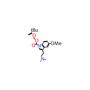 C=C(OCOC(=O)n1cc(CCN(C)C)c2cc(OC)ccc21)C(C)(C)C